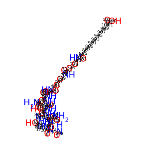 CNC(=O)CCNC(=O)[C@H](Cc1ccc(O)cc1)NC(=O)[C@H](CCC(N)=O)NC(=O)[C@H](CCN(C)C)NC(=O)[C@H](CO)NC(=O)[C@H](CCC(N)=O)NC(=O)[C@@H](CO)NC(=O)CNC(=O)COCCOCCNC(=O)COCCOCCNC(=O)CCCCCCCCCCCCCCCCCCC(=O)O